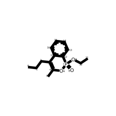 CCCC1=C(C)OP(=O)(OCC)c2ccccc21